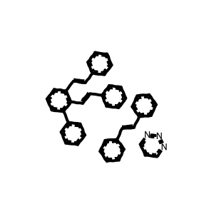 C(=Cc1cccc(-c2ccccc2)c1C=Cc1ccccc1)c1ccccc1.C(=Cc1ccccc1)c1ccccc1.c1cnnnc1